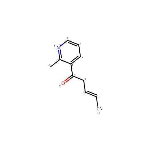 Cc1ncccc1C(=O)CC=CC#N